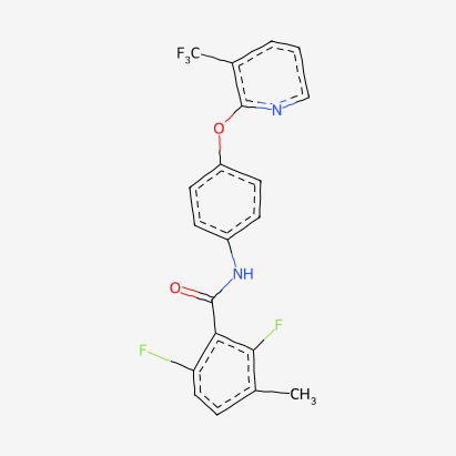 Cc1ccc(F)c(C(=O)Nc2ccc(Oc3ncccc3C(F)(F)F)cc2)c1F